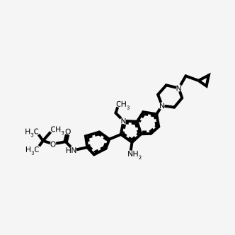 CCn1c(-c2ccc(NC(=O)OC(C)(C)C)cc2)c(N)c2ccc(N3CCN(CC4CC4)CC3)cc21